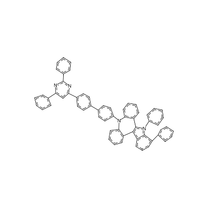 c1ccc(-c2cc(-c3ccc(-c4ccc(N5c6ccccc6-c6c(n(-c7ccccc7)c7c(-c8ccccc8)cccc67)-c6ccccc65)cc4)cc3)nc(-c3ccccc3)n2)cc1